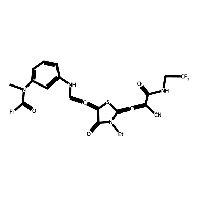 CCn1c(=C=C(C#N)C(=O)NCC(F)(F)F)sc(=C=CNc2cccc(N(C)C(=O)C(C)C)c2)c1=O